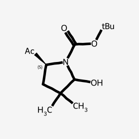 CC(=O)[C@@H]1CC(C)(C)C(O)N1C(=O)OC(C)(C)C